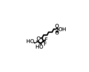 O=S(=O)(O)CCCCCC1O[C@H](CO)[C@@H](O)C1(F)F